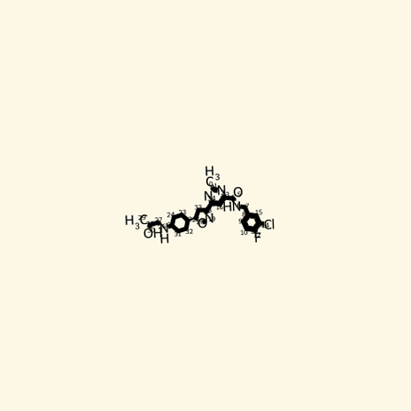 Cc1nc(C(=O)NCc2ccc(F)c(Cl)c2)cc(C2=NO[C@@H](C3CCC(NC[C@H](C)O)CC3)C2)n1